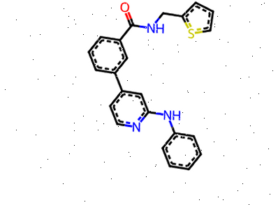 O=C(NCc1cccs1)c1cccc(-c2ccnc(Nc3ccccc3)c2)c1